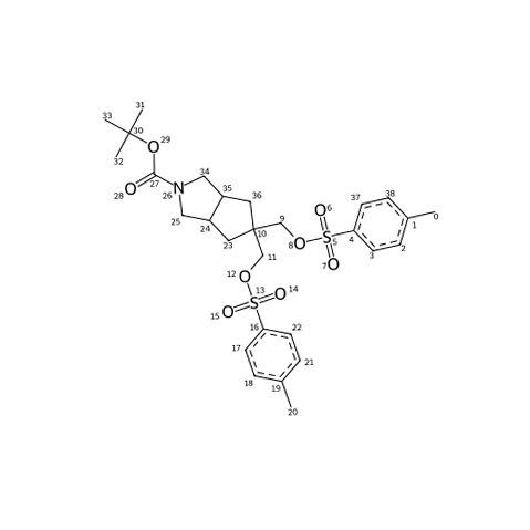 Cc1ccc(S(=O)(=O)OCC2(COS(=O)(=O)c3ccc(C)cc3)CC3CN(C(=O)OC(C)(C)C)CC3C2)cc1